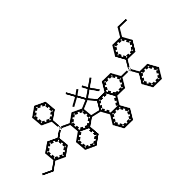 CCc1ccc(N(c2ccccc2)c2ccc3c4c(c5ccccc5c3c2)-c2c(cc(N(c3ccccc3)c3ccc(CC)cc3)c3ccccc23)C4(C(C)(C)C)C(C)(C)C)cc1